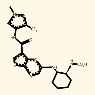 Cn1cc(NC(=O)c2csc3ncc(N[C@@H]4CCCC[C@@H]4NC(=O)O)nc23)c(C(F)(F)F)n1